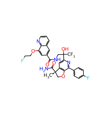 C[C@]1(C(N)=O)COc2c1cc(C(O)(CNC(=O)c1cc(OCCF)c3ncccc3c1)C(F)(F)F)nc2-c1ccc(F)cc1